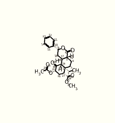 CC[C@@]12CC[C@H]3C(=O)O[C@@H](c4ccccc4)C[C@@H]3[C@H]1C(=O)[C@@H](OC(C)=O)C[C@H]2C(=O)OC